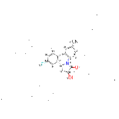 N#Cc1ccc(N2C(=O)[C@@H](O)C[C@@H]2c2cccc(F)c2)cc1